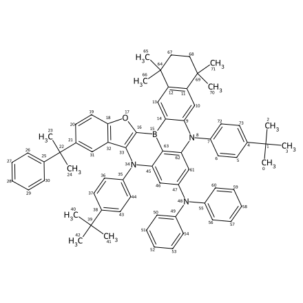 CC(C)(C)c1ccc(N2c3cc4c(cc3B3c5oc6ccc(C(C)(C)c7ccccc7)cc6c5N(c5ccc(C(C)(C)C)cc5)c5cc(N(c6ccccc6)c6ccccc6)cc2c53)C(C)(C)CCC4(C)C)cc1